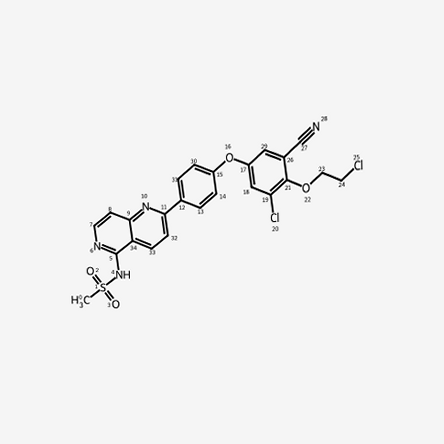 CS(=O)(=O)Nc1nccc2nc(-c3ccc(Oc4cc(Cl)c(OCCCl)c(C#N)c4)cc3)ccc12